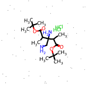 CC(C(=O)OC(C)(C)C)C(N)(CN)C(C)C(=O)OC(C)(C)C.Cl.Cl